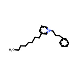 CCCCCCCCc1ccc[n+](CCCc2ccccc2)c1